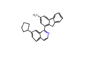 Cc1cc2c(c(-c3nccc4ccc(C5CCCC5)cc34)c1)Cc1ccccc1-2